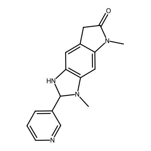 CN1C(=O)Cc2cc3c(cc21)N(C)C(c1cccnc1)N3